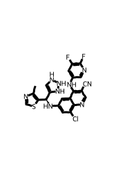 Cc1ncsc1[C@H](Nc1cc(Cl)c2ncc(C#N)c(Nc3cnc(F)c(F)c3)c2c1)C1=CNNN1